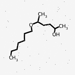 CCCCCCCOC(C)CCC(C)O